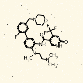 CN(C)CCN(C)c1ccc(-c2cc(CN3CCOCC3)ccc2F)cc1NC(=O)c1c[nH]c(=O)cc1C(F)(F)F